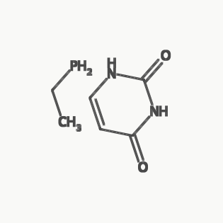 CCP.O=c1cc[nH]c(=O)[nH]1